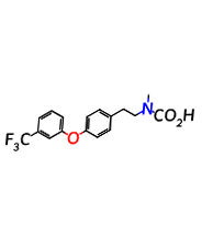 CN(CCc1ccc(Oc2cccc(C(F)(F)F)c2)cc1)C(=O)O